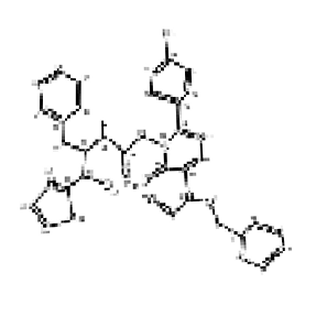 O=CN(OCc1ccccc1)c1cnc(-c2ccc(F)cc2)n(CC(=O)NC(Cc2ccccc2)C(O)c2nccs2)c1=O